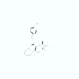 COc1ccc(COC(=O)C2=C(N3CCCCC3)CS[C@H]3C(N)C(=O)N23)cc1